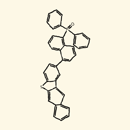 O=P(c1ccccc1)(c1ccccc1)c1cccc2c(-c3ccc4sc5cc6ccccc6cc5c4c3)cccc12